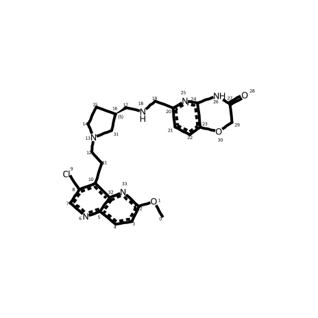 COc1ccc2ncc(Cl)c(CCN3CC[C@@H](CNCc4ccc5c(n4)NC(=O)CO5)C3)c2n1